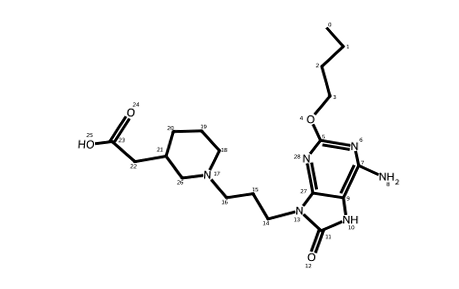 CCCCOc1nc(N)c2[nH]c(=O)n(CCCN3CCCC(CC(=O)O)C3)c2n1